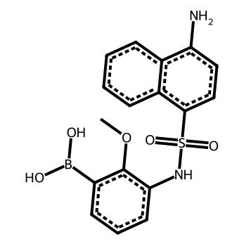 COc1c(NS(=O)(=O)c2ccc(N)c3ccccc23)cccc1B(O)O